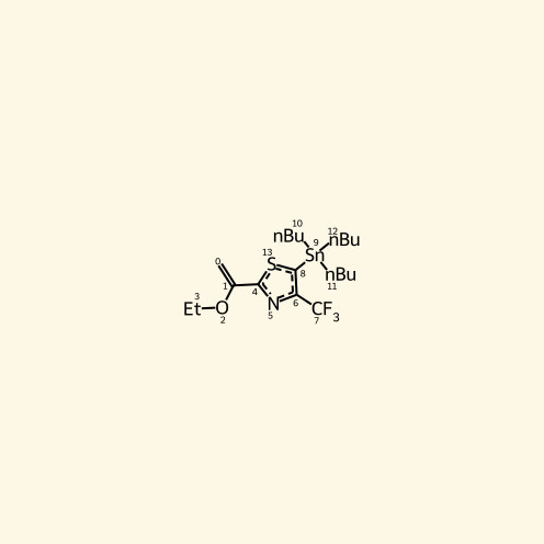 C=C(OCC)c1nc(C(F)(F)F)[c]([Sn]([CH2]CCC)([CH2]CCC)[CH2]CCC)s1